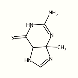 CC12N=CNC1C(=S)NC(N)=N2